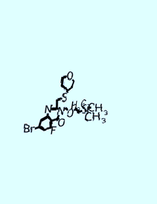 C[Si](C)(C)CCOCn1c(CSC2CCOCC2)nc2cc(Br)cc(F)c2c1=O